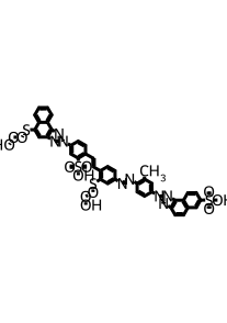 Cc1cc(-n2n3c4ccc5cc(S(=O)(=O)O)ccc5c4n23)ccc1N=Nc1ccc(C=Cc2ccc(-n3n4c5cc(SOOO)c6ccccc6c5n34)cc2S(=O)(=O)O)c(SOOO)c1